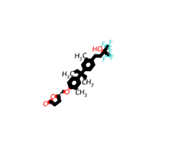 CCC(CC)(c1ccc(CCC(O)(C(F)(F)F)C(F)(F)F)c(C)c1)c1ccc(OC[C@@H]2CCC(=O)O2)c(C)c1